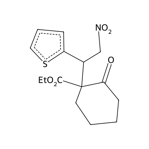 CCOC(=O)C1(C(C[N+](=O)[O-])c2cccs2)CCCCC1=O